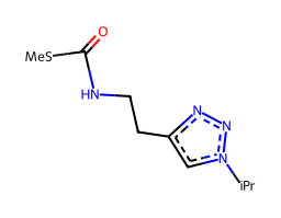 CSC(=O)NCCc1cn(C(C)C)nn1